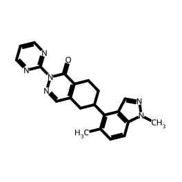 Cc1ccc2c(cnn2C)c1C1CCc2c(cnn(-c3ncccn3)c2=O)C1